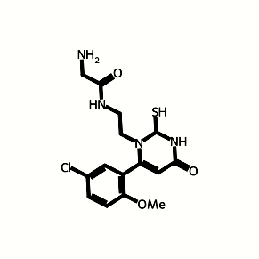 COc1ccc(Cl)cc1C1=CC(=O)NC(S)N1CCNC(=O)CN